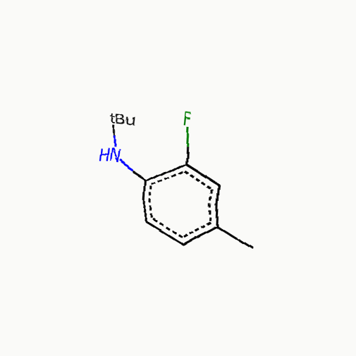 Cc1ccc(NC(C)(C)C)c(F)c1